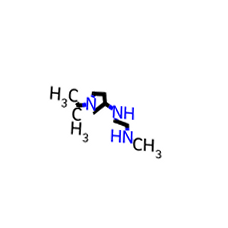 CNCCNC1CCN(C(C)C)C1